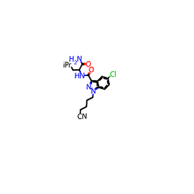 CC(C)CC(NC(=O)c1nn(CCCCC#N)c2ccc(Cl)cc12)C(N)=O